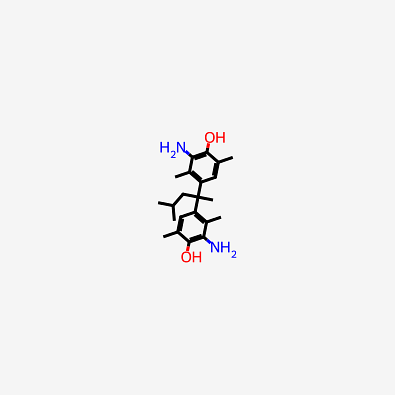 Cc1cc(C(C)(CC(C)C)c2cc(C)c(O)c(N)c2C)c(C)c(N)c1O